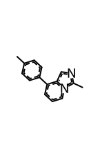 Cc1ccc(-c2cccn3c(C)ncc23)cc1